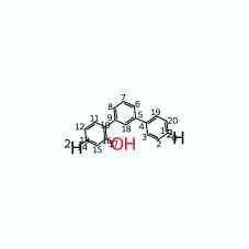 [2H]c1ccc(-c2cccc(-c3ccc([2H])cc3O)c2)cc1